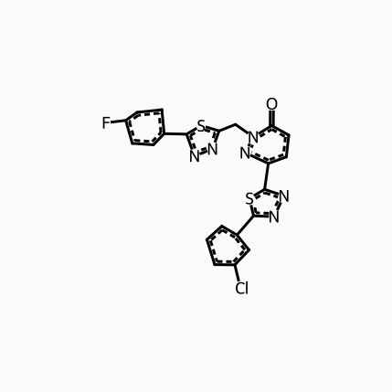 O=c1ccc(-c2nnc(-c3cccc(Cl)c3)s2)nn1Cc1nnc(-c2ccc(F)cc2)s1